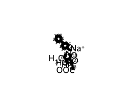 C[C@H]1CN(Cc2ccc(-c3ccccc3)cc2)C(=O)C(C(=O)NCC(=O)[O-])=C1O.[Na+]